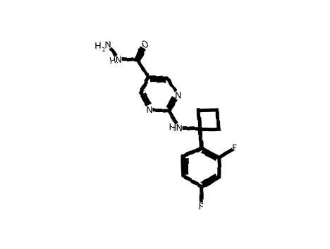 NNC(=O)c1cnc(NC2(c3ccc(F)cc3F)CCC2)nc1